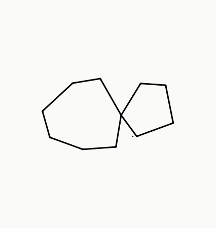 [CH]1CCCC12CCCCCC2